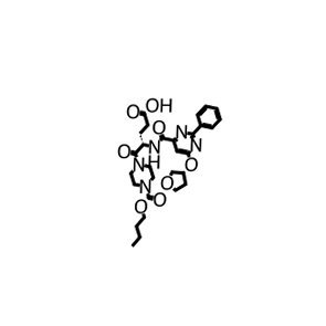 CCCCOC(=O)N1CCN(C(=O)[C@H](CCC(=O)O)NC(=O)c2cc(O[C@H]3CCOC3)nc(-c3ccccc3)n2)CC1